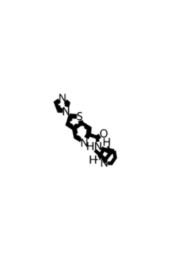 C[C@H]1[C@H](NC(=O)c2cc3sc(-n4ccnc4)cc3cn2)C2CCN1CC2